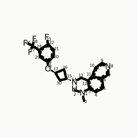 CN(C)c1ccc2cnccc2c1CN[C@H]1C[C@H](Oc2ccc(F)c(C(F)(F)F)c2)C1